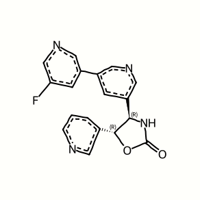 O=C1N[C@H](c2cncc(-c3cncc(F)c3)c2)[C@@H](c2cccnc2)O1